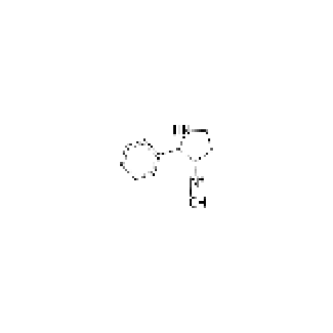 C#[N+][C@H]1CCNC1c1ccccc1